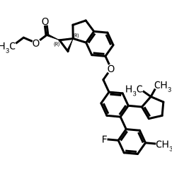 CCOC(=O)[C@@H]1C[C@]12CCc1ccc(OCc3ccc(-c4cc(C)ccc4F)c(C4=CCCC4(C)C)c3)cc12